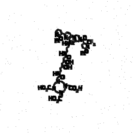 CCOc1ccc(C(=O)N2CCN(c3ccc(-c4cccnc4OCC)nc3CNCCCNC(=O)C[C@@H](O)C[C@@H](O)CCNC(=O)CN3CCN(CC(=O)O)CCN(CC(=O)O)CCN(CC(=O)O)CC3)[C@H](CC)C2)c(C(F)(F)F)n1